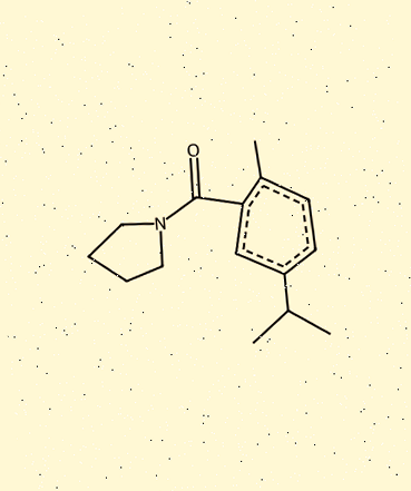 Cc1ccc(C(C)C)cc1C(=O)N1CCCC1